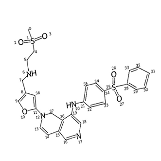 CS(=O)(=O)CCNCc1coc(N2C=Cc3cncc(Nc4ccc(S(=O)(=O)c5ccccc5)cc4)c3C2)c1